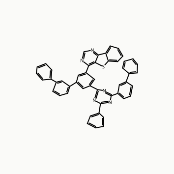 c1ccc(-c2cccc(-c3cc(-c4nc(-c5ccccc5)nc(-c5cccc(-c6ccccc6)c5)n4)cc(-c4ncnc5c4sc4ccccc45)c3)c2)cc1